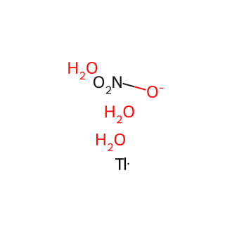 O.O.O.O=[N+]([O-])[O-].[Tl]